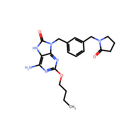 CCCCOc1nc(N)c2[nH]c(=O)n(Cc3cccc(CN4CCCC4=O)c3)c2n1